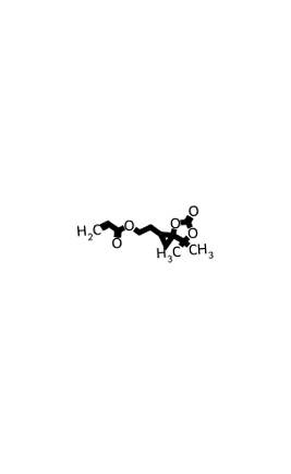 C=CC(=O)OCCC1CC12OC(=O)OC2(C)C